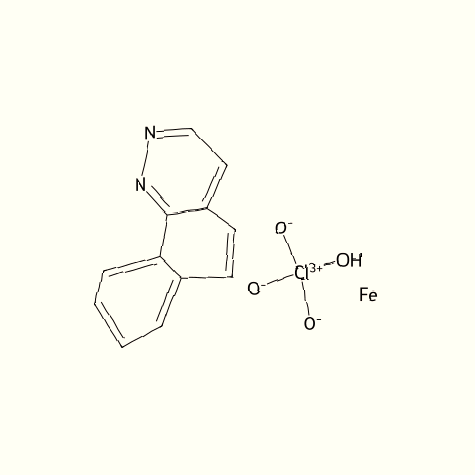 [Fe].[O-][Cl+3]([O-])([O-])O.c1ccc2c(c1)ccc1ccnnc12